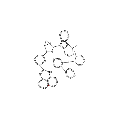 CC1CC(C2(C3C=CC=CC3C)c3ccccc3-c3ccccc32)=Cc2c1c1ccccc1n2C1N=C(c2cccc(/C(=N/c3ccccc3)Nc3ccccc3)c2)C2CN21